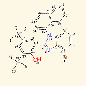 CC(C)(C)c1cc(-c2nc3c(Br)cccc3n2-c2cccc3ccccc23)c(O)c(C(C)(C)C)c1